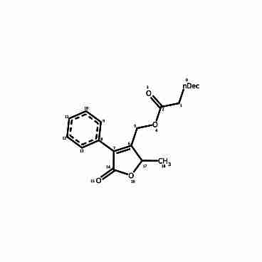 CCCCCCCCCCCC(=O)OCC1=C(c2ccccc2)C(=O)OC1C